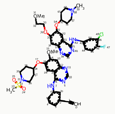 C#Cc1cccc(Nc2ncnc3cc(OC)c(OC4CCN(S(C)(=O)=O)CC4)cc23)c1.COCCOc1cc2ncnc(Nc3ccc(F)c(Cl)c3)c2cc1OC1CCN(C)CC1